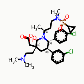 C[C@@H](CCN(C)S(=O)(=O)C1CC1)N1C(=O)[C@@](CCN(C)C)(CC(=O)O)C[C@H](c2cccc(Cl)c2)[C@H]1c1ccc(Cl)cc1